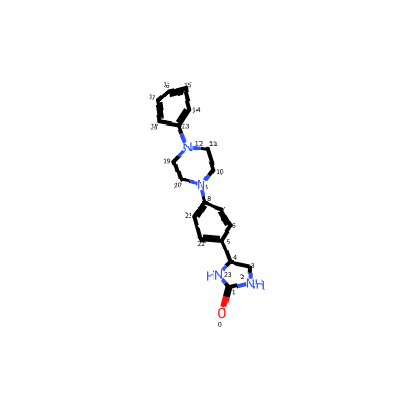 O=C1NCC(c2ccc(N3CCN(c4ccccc4)CC3)cc2)N1